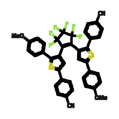 COc1ccc(-c2cc(C3=C(c4cc(-c5ccc(C#N)cc5)sc4-c4ccc(OC)cc4)C(F)(F)C(F)(F)C3(F)F)c(-c3ccc(C#N)cc3)s2)cc1